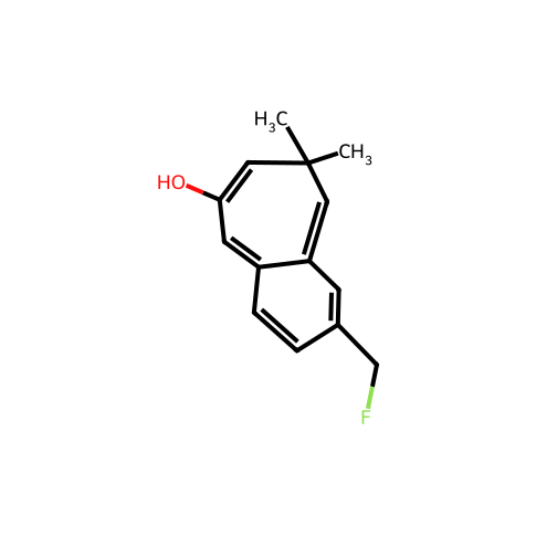 CC1(C)C=C(O)C=c2ccc(CF)cc2=C1